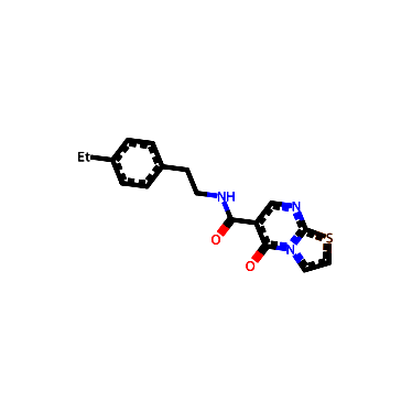 CCc1ccc(CCNC(=O)c2cnc3sccn3c2=O)cc1